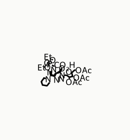 CCOP(=O)(OCC)C(C(=O)O)n1nc(N2CCCCC2)c2nnn(C3OC(COC(C)=O)C(OC(C)=O)C3OC(C)=O)c(=O)c21